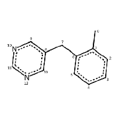 Cc1ccccc1Cc1cncnc1